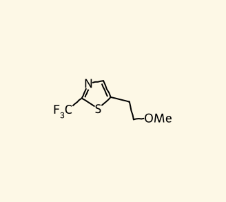 COCCc1cnc(C(F)(F)F)s1